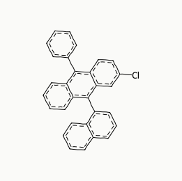 Clc1ccc2c(-c3ccccc3)c3ccccc3c(-c3cccc4ccccc34)c2c1